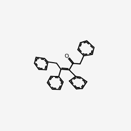 O=C(Cc1ccccc1)/C(=C(\Cc1ccccc1)c1ccccc1)c1ccccc1